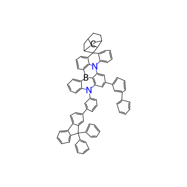 c1ccc(-c2cccc(-c3cc4c5c(c3)N3c6ccccc6C6(c7cccc(c73)B5c3ccccc3N4c3cccc(-c4ccc5c(c4)C(c4ccccc4)(c4ccccc4)c4ccccc4-5)c3)C3CCC4CCC(C3)CC46)c2)cc1